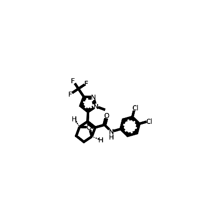 Cn1nc(C(F)(F)F)cc1C1=C(C(=O)Nc2ccc(Cl)c(Cl)c2)[C@H]2CC[C@@H]1O2